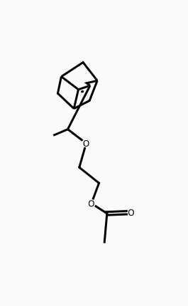 CC(=O)OCCOC(C)C1=C2C3CC(C1)CC2C3